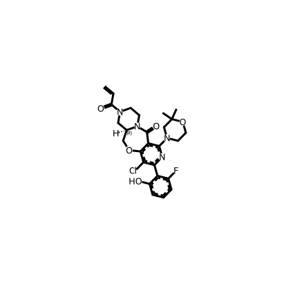 C=CC(=O)N1CCN2C(=O)c3c(N4CCOC(C)(C)C4)nc(-c4c(O)cccc4F)c(Cl)c3OC[C@H]2C1